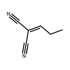 CCC=C(C#N)C#N